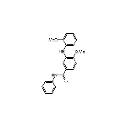 COc1ccccc1Nc1cc(C(=O)Nc2ccccc2)ccc1OC